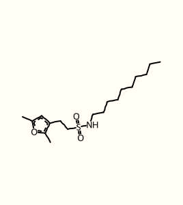 CCCCCCCCCCNS(=O)(=O)CCc1cc(C)oc1C